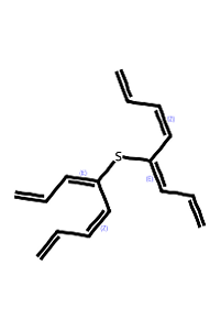 C=C/C=C\C(=C/C=C)SC(/C=C\C=C)=C/C=C